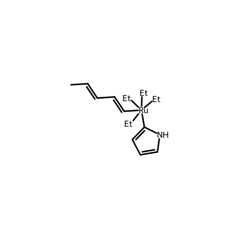 CC=CC=[CH][Ru]([CH2]C)([CH2]C)([CH2]C)([CH2]C)[c]1ccc[nH]1